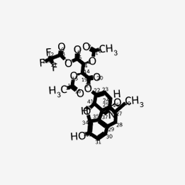 CC(=O)O[C@H](C(=O)OC(=O)C(F)(F)F)[C@H](OC(C)=O)C(=O)OC1=CC[C@@]2(O)C3Cc4ccc(O)c5c4[C@@]2(CCN3C)[C@H]1O5